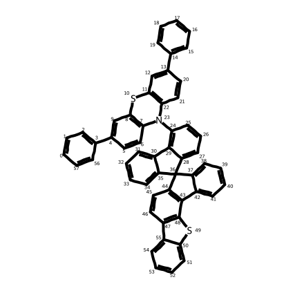 c1ccc(-c2ccc3c(c2)Sc2cc(-c4ccccc4)ccc2N3c2cccc3c2-c2ccccc2C32c3ccccc3-c3c2ccc2c3sc3ccccc32)cc1